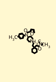 Cc1ccc(N(C(=O)c2ccco2)C2CCN(CCC3(CC(=O)N(C)C)CCCCC3)CC2)cc1